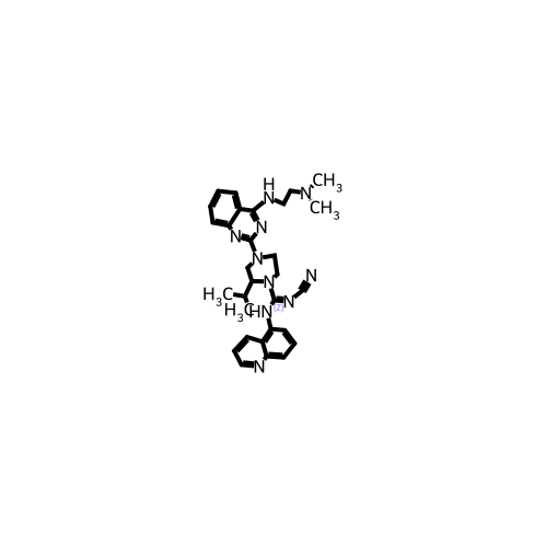 CC(C)C1CN(c2nc(NCCN(C)C)c3ccccc3n2)CCN1/C(=N\C#N)Nc1cccc2ncccc12